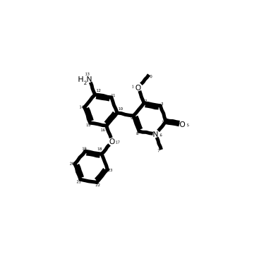 COc1cc(=O)n(C)cc1-c1cc(N)ccc1Oc1ccccc1